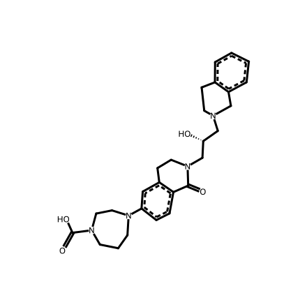 O=C(O)N1CCCN(c2ccc3c(c2)CCN(C[C@H](O)CN2CCc4ccccc4C2)C3=O)CC1